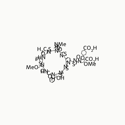 CNC(=O)C[C@@H]1NC(=O)c2csc(n2)-c2ccc(-c3nc(N(CC(CC(=O)O)OC)C(=O)O[C@H]4CC[C@H](C(=O)O)CC4)cs3)nc2-c2csc(n2)-c2csc(n2)[C@H]([C@@H](O)c2ccccc2)NC(=O)CNC(=O)c2nc(sc2COC)C(C(C)C)NC(=O)c2nc1sc2C